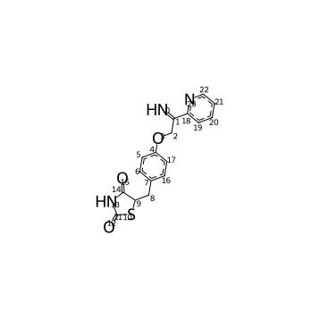 N=C(COc1ccc(CC2SC(=O)NC2=O)cc1)c1ccccn1